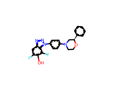 Oc1c(F)cc2nnn(-c3ccc(N4CCO[C@H](c5ccccc5)C4)cc3)c2c1F